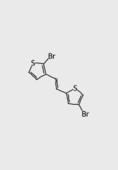 Brc1csc(C=Cc2ccsc2Br)c1